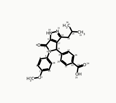 COc1ccc(N2C(=O)c3[nH]nc(CC(C)C)c3C2c2ccc(C(=O)O)cc2)cc1